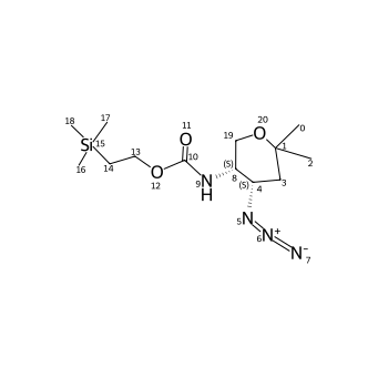 CC1(C)C[C@H](N=[N+]=[N-])[C@H](NC(=O)OCC[Si](C)(C)C)CO1